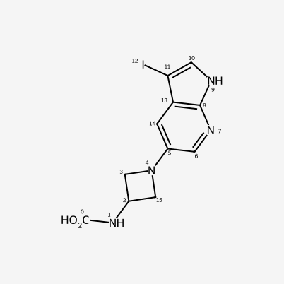 O=C(O)NC1CN(c2cnc3[nH]cc(I)c3c2)C1